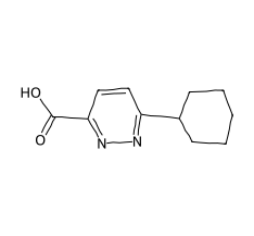 O=C(O)c1ccc(C2CCCCC2)nn1